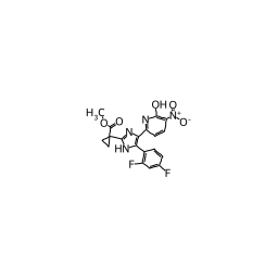 COC(=O)C1(c2nc(-c3ccc([N+](=O)[O-])c(O)n3)c(-c3ccc(F)cc3F)[nH]2)CC1